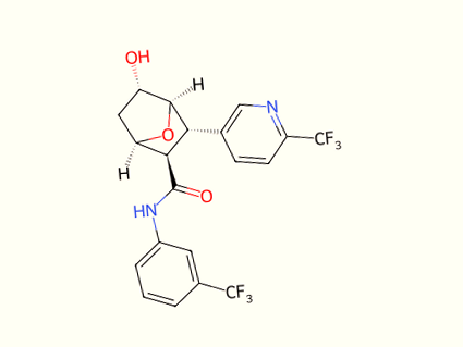 O=C(Nc1cccc(C(F)(F)F)c1)[C@@H]1[C@@H](c2ccc(C(F)(F)F)nc2)[C@H]2O[C@@H]1C[C@@H]2O